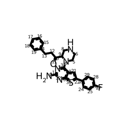 Nc1nc(N2CCNCC2C(=O)CCc2ccccc2)c2cc(-c3ccc(F)cc3)sc2n1